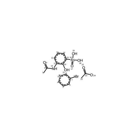 Brc1cccnc1.CC(=O)Nc1cccc([As](=O)(O)O)c1O.CC([O])=O